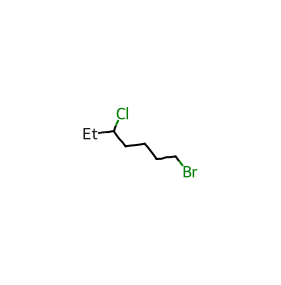 CCC(Cl)CCCCBr